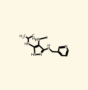 CC(C)Nc1[nH]nc(NCc2cccnc2)c1NI